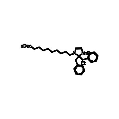 CCCCCCCCCCCCCCCCCCCN1C=CN(CCC)C1(Cc1ccccc1)C(CC)c1ccccc1